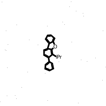 CC(C)c1c(-c2ccccc2)ccc2c1oc1ccccc12